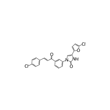 O=C(C=Cc1ccc(Cl)cc1)c1cccc(-n2cc(-c3ccc(Cl)o3)[nH]c2=O)c1